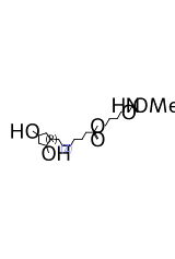 CONOCCCCOC(=O)CCC/C=C\C[C@@H]1CC(O)CC1O